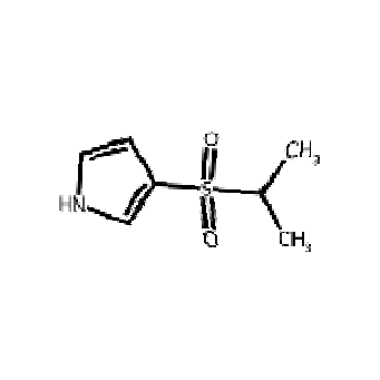 CC(C)S(=O)(=O)c1cc[nH]c1